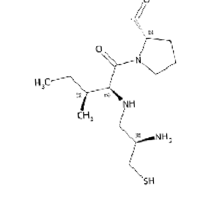 CC[C@H](C)[C@H](NC[C@@H](N)CS)C(=O)N1CCC[C@H]1[C]=O